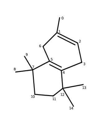 CC1=CCC2=C(C1)C(C)(C)CCC2(C)C